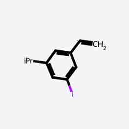 C=[C]c1cc(I)cc(C(C)C)c1